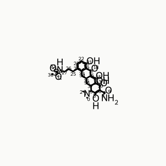 CN(C)C1C(O)=C(C(N)=O)C(=O)C2(O)C(O)=C3C(=O)c4c(O)ccc(CCCNS(C)(=O)=O)c4CC3CC12